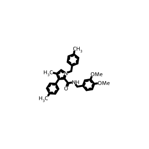 COc1ccc(CNC(=O)c2c(-c3ccc(C)cc3)c(C)cn2Cc2ccc(C)cc2)cc1OC